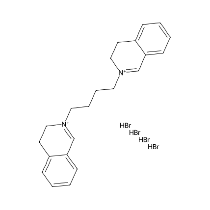 Br.Br.Br.Br.C1=[N+](CCCC[N+]2=Cc3ccccc3CC2)CCc2ccccc21